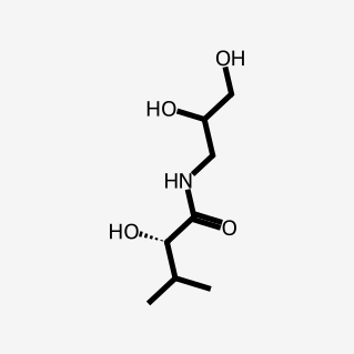 CC(C)[C@H](O)C(=O)NCC(O)CO